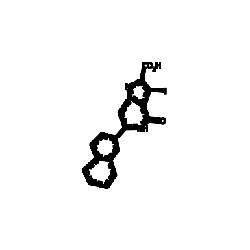 O=C(O)c1nn2cc(-c3ccc4ccccc4c3)[nH]c(=O)c2c1I